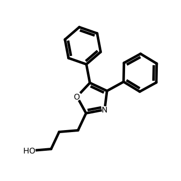 OCCCc1nc(-c2ccccc2)c(-c2ccccc2)o1